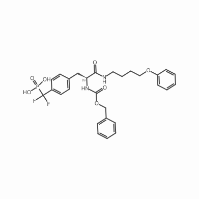 O=C(N[C@@H](Cc1ccc(C(F)(F)P(=O)(O)O)cc1)C(=O)NCCCCOc1ccccc1)OCc1ccccc1